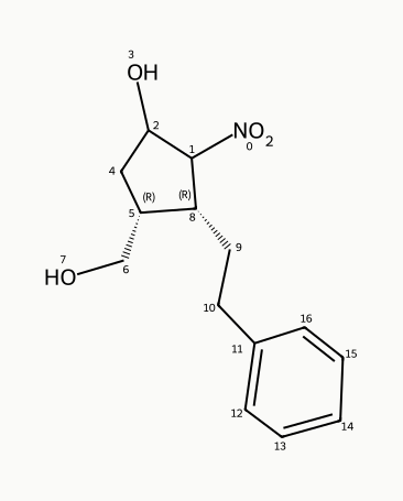 O=[N+]([O-])C1C(O)C[C@@H](CO)[C@H]1CCc1ccccc1